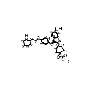 CS(=O)(=O)C1CC=C(c2sc3cc(O)ccc3c2Oc2ccc(OCCC3CCCCN3)cc2)CC1